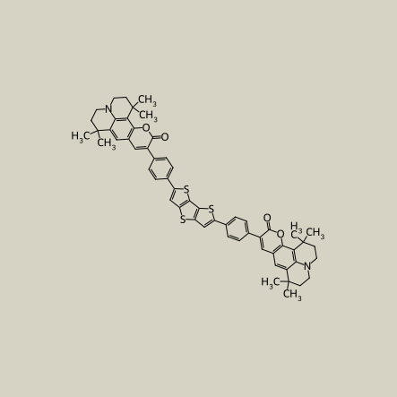 CC1(C)CCN2CCC(C)(C)c3c2c1cc1cc(-c2ccc(-c4cc5sc6cc(-c7ccc(-c8cc9cc%10c%11c(c9oc8=O)C(C)(C)CCN%11CCC%10(C)C)cc7)sc6c5s4)cc2)c(=O)oc31